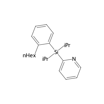 CCCCCCc1ccccc1[Si](c1ccccn1)(C(C)C)C(C)C